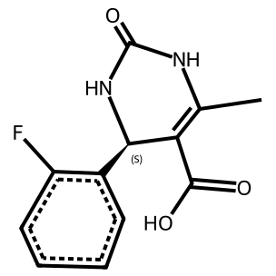 CC1=C(C(=O)O)[C@@H](c2ccccc2F)NC(=O)N1